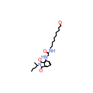 CCCC(C)N1C(=O)c2cccc(NCC(=O)NCCCCCCCCCC=O)c2C1=O